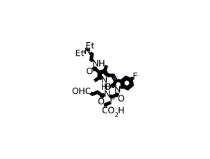 CCN(CC)CCNC(=O)c1c(C)[nH]c(/C=C2\C(=O)N(C(=O)[C@H](CCC(=O)O)NC(=O)CCC=O)c3ccc(F)cc32)c1C